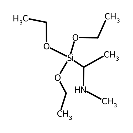 CCO[Si](OCC)(OCC)C(C)NC